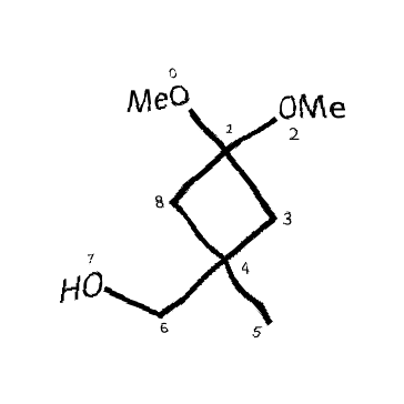 COC1(OC)CC(C)(CO)C1